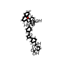 O=C(Nc1ccc(-c2ccc(-c3ccc(NC(=O)[C@]4(Cc5ccccc5)C(Cc5ccccc5)CCN4C(=O)O)cc3)o2)cc1)[C@@H]1CCCN1C(=O)O